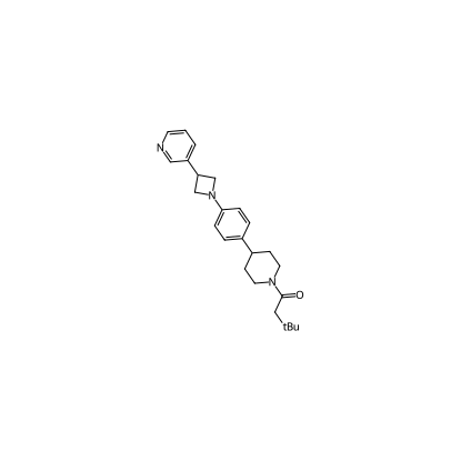 CC(C)(C)CC(=O)N1CCC(c2ccc(N3CC(c4cccnc4)C3)cc2)CC1